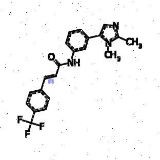 Cc1ncc(-c2cccc(NC(=O)/C=C/c3ccc(C(F)(F)F)cc3)c2)n1C